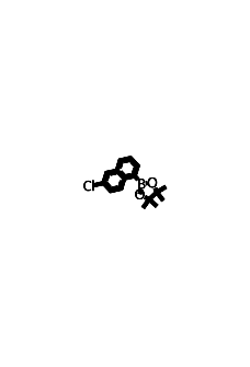 CC1(C)OB(c2cccc3cc(Cl)ccc23)OC1(C)C